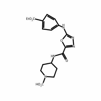 CCOC(=O)c1ccc(Nc2nnc(C(=O)NC3CCN(C(=O)O)CC3)o2)cc1